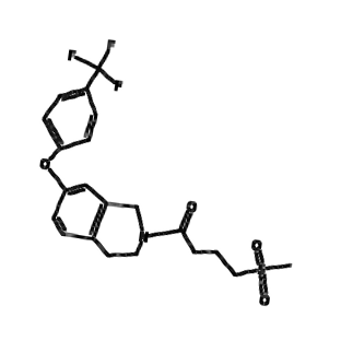 CS(=O)(=O)CCCC(=O)N1CCc2ccc(Oc3ccc(C(F)(F)F)cc3)cc2C1